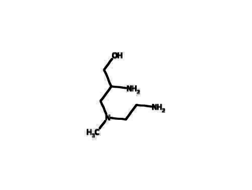 CN(CCN)CC(N)CO